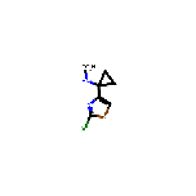 O=C(O)NC1(c2csc(Br)n2)CC1